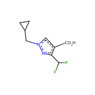 O=C(O)c1cn(CC2CC2)nc1C(F)F